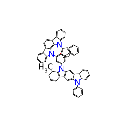 CC1CC=Cc2c1n(-c1cc(-c3ccccc3)cc(-n3c4ccccc4c4ccc5c6ccccc6n(-c6ccccc6)c5c43)c1)c1cc3c(cc21)N(c1ccccc1)C1C=CC=CC31